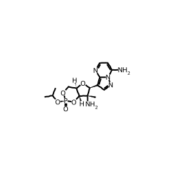 CC(C)O[P@@]1(=O)OC[C@H]2O[C@@H](c3cnn4c(N)ccnc34)[C@](C)(N)[C@@H]2O1